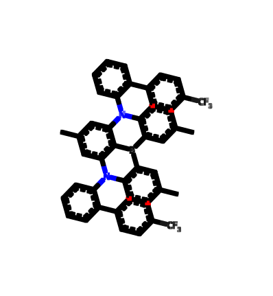 Cc1ccc2c(c1)B1c3cc(C)ccc3N(c3ccccc3-c3ccc(C(F)(F)F)cc3)c3cc(C)cc(c31)N2c1ccccc1-c1ccc(C(F)(F)F)cc1